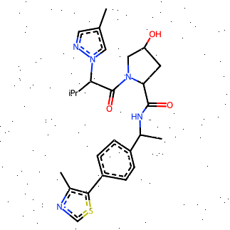 Cc1cnn(C(C(=O)N2CC(O)CC2C(=O)NC(C)c2ccc(-c3scnc3C)cc2)C(C)C)c1